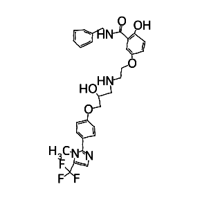 Cn1c(C(F)(F)F)cnc1-c1ccc(OCC(O)CNCCOc2ccc(O)c(C(=O)NCc3ccccc3)c2)cc1